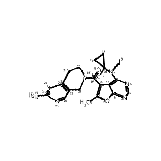 Cc1oc2ncnc(N(I)C3(C)CC3)c2c1C(=O)N1CCc2nc(C(C)(C)C)ncc2C1